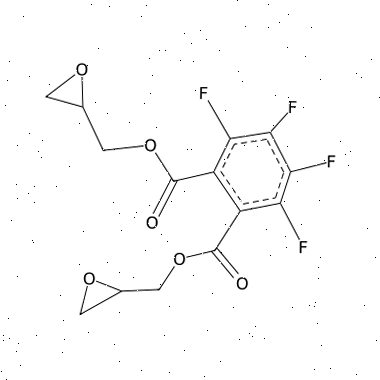 O=C(OCC1CO1)c1c(F)c(F)c(F)c(F)c1C(=O)OCC1CO1